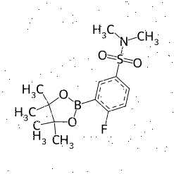 CN(C)S(=O)(=O)c1ccc(F)c(B2OC(C)(C)C(C)(C)O2)c1